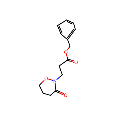 O=C(CCN1OCCCC1=O)OCc1ccccc1